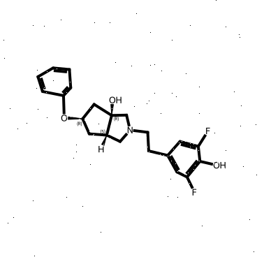 Oc1c(F)cc(CCN2C[C@@H]3C[C@@H](Oc4ccccc4)C[C@]3(O)C2)cc1F